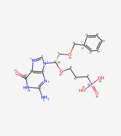 Nc1nc2c(ncn2[C@H](COCc2ccccc2)OCCCP(=O)(O)O)c(=O)[nH]1